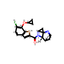 O=C(N[C@H]1C2CCN(CC2)C12CC2)c1cc2ccc(F)c(OC3CC3)c2s1